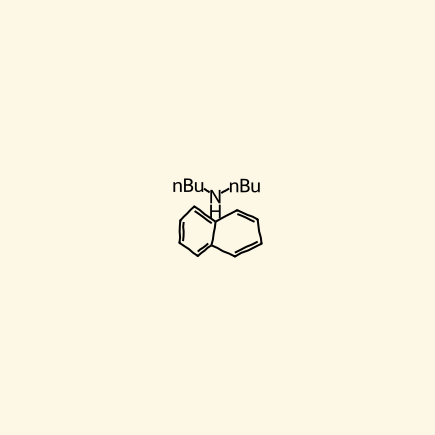 CCCCNCCCC.c1ccc2ccccc2c1